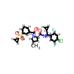 C[C@@H]1C[C@H](C(=O)N[C@@H](c2cc(F)c(Cl)cc2F)C2CC2)N(C(=O)c2cccc(S(=O)(=O)C3CC3)c2)C1